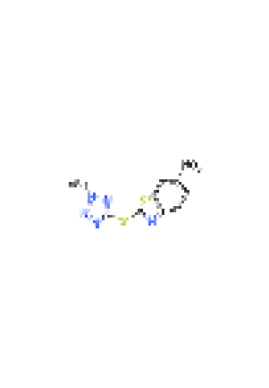 CCCCn1nnc(Sc2nc3ccc([N+](=O)[O-])cc3s2)n1